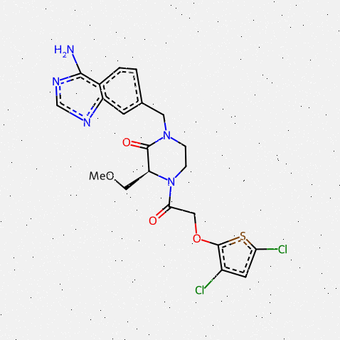 COC[C@H]1C(=O)N(Cc2ccc3c(N)ncnc3c2)CCN1C(=O)COc1sc(Cl)cc1Cl